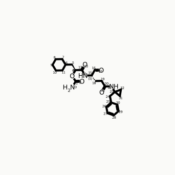 NC(=O)O[C@@H](CC1CCCCC1)C(=O)N[C@H](C=O)CCC(=O)NC1(Cc2ccccc2)CC1